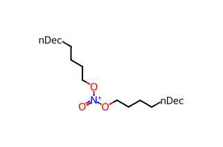 CCCCCCCCCCCCCCO[N+](=O)OCCCCCCCCCCCCCC